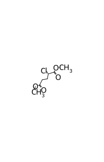 COC(=O)CCC(Cl)C(=O)OC